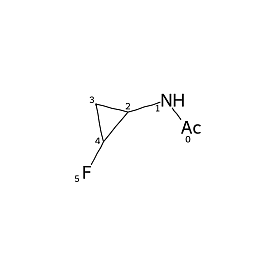 CC(=O)NC1CC1F